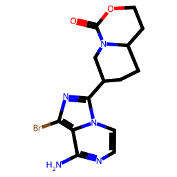 Nc1nccn2c(C3CCC4CCOC(=O)N4C3)nc(Br)c12